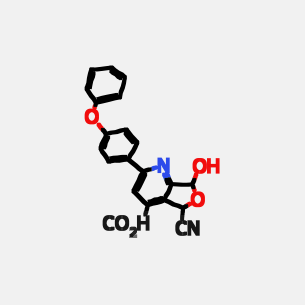 N#CC1OC(O)c2nc(-c3ccc(Oc4ccccc4)cc3)cc(C(=O)O)c21